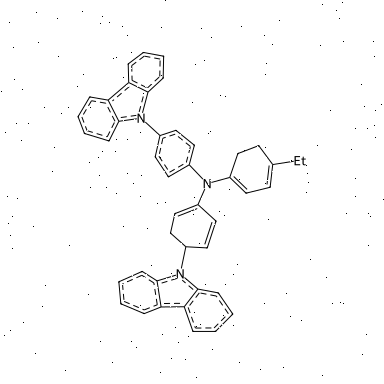 CCC1=CC=C(N(C2=CCC(n3c4ccccc4c4ccccc43)C=C2)c2ccc(-n3c4ccccc4c4ccccc43)cc2)CC1